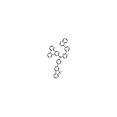 CC1(C)c2ccccc2-c2ccc(-c3ccc(N(c4cccc(-c5cccc(-c6cccc7ccccc67)c5)c4)c4ccc5c6ccccc6c6ccccc6c5c4)cc3)cc21